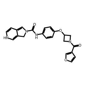 O=C(Nc1ccc(OC2CN(C(=O)c3ccoc3)C2)cc1)N1C=C2C=CNC=C2C1